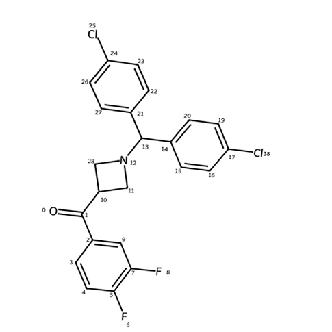 O=C(c1ccc(F)c(F)c1)C1CN(C(c2ccc(Cl)cc2)c2ccc(Cl)cc2)C1